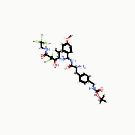 COc1ccc(C(NC(=O)[C@@H](N)Cc2ccc(CNC(=O)OC(C)(C)C)cc2)N[C@@H](C(C)C)C(O)C(F)(F)C(=O)NCC(F)(F)F)cc1